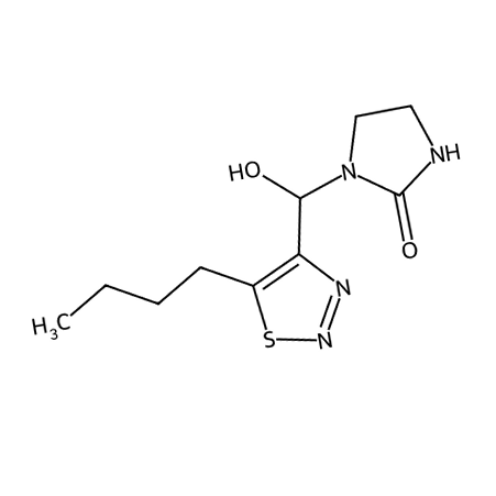 CCCCc1snnc1C(O)N1CCNC1=O